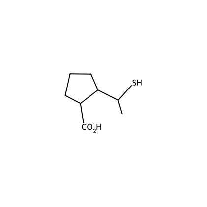 CC(S)C1CCCC1C(=O)O